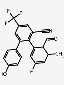 CC1C=C(F)C=C(c2c(C#N)cc(C(F)(F)F)cc2-c2ccc(O)cc2)C1C=O